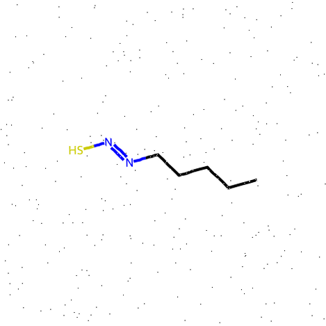 CCCCC/N=N/S